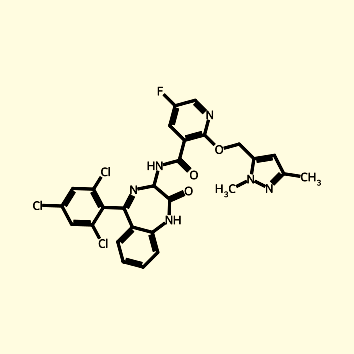 Cc1cc(COc2ncc(F)cc2C(=O)NC2N=C(c3c(Cl)cc(Cl)cc3Cl)c3ccccc3NC2=O)n(C)n1